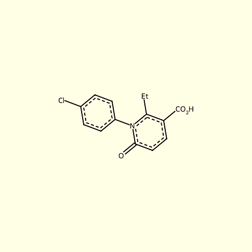 CCc1c(C(=O)O)ccc(=O)n1-c1ccc(Cl)cc1